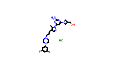 Cc1c(/C=C/CN2CCN(c3cc(F)cc(F)c3)CC2)cnn1-c1cc(N2CC(CO)C2)nc(N)n1.Cl